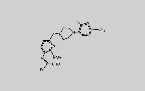 CC/C(C=O)=N/c1ccc(CN2CCN(c3ccc(C)nc3F)CC2)nc1NC